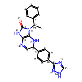 C[C@H](c1ccccc1)n1c2c([nH]c1=O)N=CC(c1ccc(-c3nc[nH]n3)cc1)N2